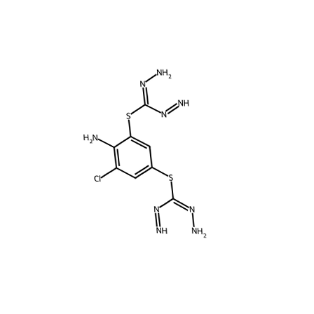 N=NC(=NN)Sc1cc(Cl)c(N)c(SC(N=N)=NN)c1